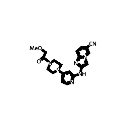 COCC(=O)N1CCN(c2ccnc(Nc3cn4cc(C#N)ccc4n3)c2)CC1